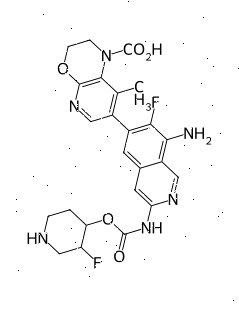 Cc1c(-c2cc3cc(NC(=O)OC4CCNCC4F)ncc3c(N)c2F)cnc2c1N(C(=O)O)CCO2